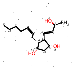 B[C@H](O)/C=C/[C@@H]1[C@@H](C/C=C\CCCC)[C@@H](O)C[C@H]1O